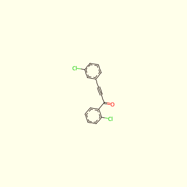 O=C(C#Cc1cccc(Cl)c1)c1ccccc1Cl